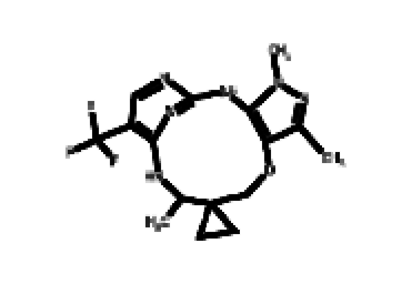 Cc1nn(C)c2c1OCC1(CC1)C(C)Nc1nc(ncc1C(F)(F)F)N2